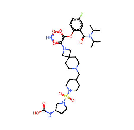 CC(C)N(C(=O)c1cc(F)ccc1Oc1oo[nH]oc1N1CC2(CCN(CC3CCN(S(=O)(=O)N4CC[C@@H](NC(=O)O)C4)CC3)CC2)C1)C(C)C